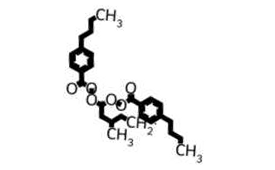 [CH2]CC(C)C[C](OOC(=O)c1ccc(CCCC)cc1)OOC(=O)c1ccc(CCCC)cc1